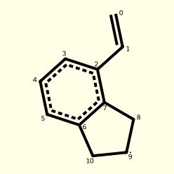 C=Cc1cccc2c1C[CH]C2